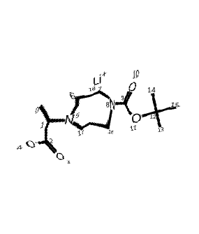 CC(C(=O)[O-])N1CCN(C(=O)OC(C)(C)C)CC1.[Li+]